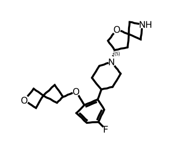 Fc1ccc(OC2CC3(COC3)C2)c(C2CCN([C@@H]3COC4(CNC4)C3)CC2)c1